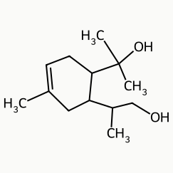 CC1=CCC(C(C)(C)O)C(C(C)CO)C1